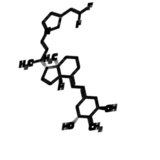 C=C1[C@H](O)CC(=CC=C2CCC[C@]3(C)[C@@H](C(C)CCN4CCC(CC(F)F)C4)CC[C@@H]23)C[C@H]1O